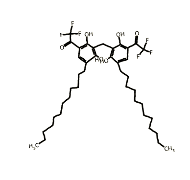 CCCCCCCCCCCCc1cc(C(=O)C(F)(F)F)c(O)c(Cc2c(O)c(CCCCCCCCCCCC)cc(C(=O)C(F)(F)F)c2O)c1O